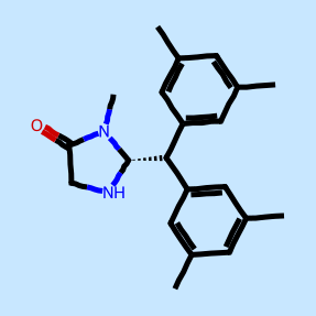 Cc1cc(C)cc(C(c2cc(C)cc(C)c2)[C@@H]2NCC(=O)N2C)c1